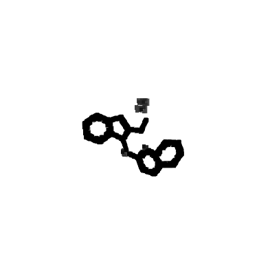 CCC1=Cc2ccccc2[CH]1[Cr][c]1ccc2ccccc2n1.Cl.Cl